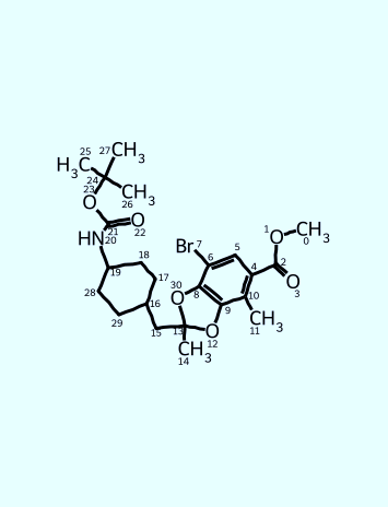 COC(=O)c1cc(Br)c2c(c1C)OC(C)(CC1CCC(NC(=O)OC(C)(C)C)CC1)O2